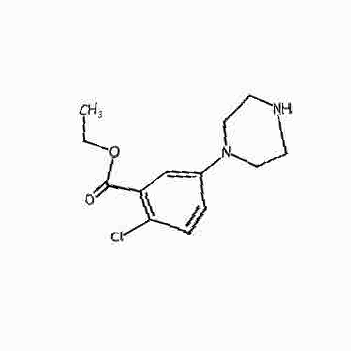 CCOC(=O)c1cc(N2CCNCC2)ccc1Cl